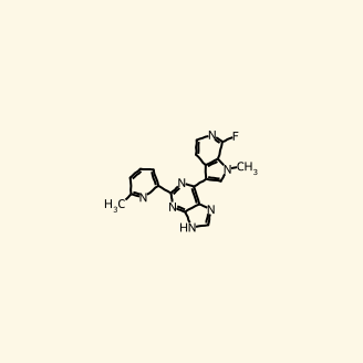 Cc1cccc(-c2nc(-c3cn(C)c4c(F)nccc34)c3nc[nH]c3n2)n1